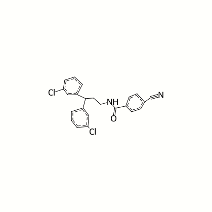 N#Cc1ccc(C(=O)NCCC(c2cccc(Cl)c2)c2cccc(Cl)c2)cc1